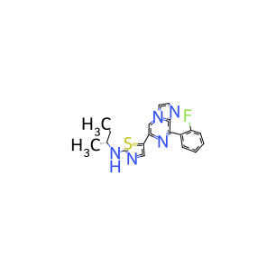 CC[C@@H](C)Nc1ncc(-c2cn3ccnc3c(-c3ccccc3F)n2)s1